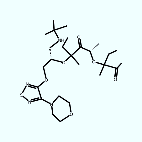 CCC(C)(O[C@@H](C)C(=O)C(C)(CC)O[C@@H](CNC(C)(C)C)COc1nsnc1N1CCOCC1)C(C)=O